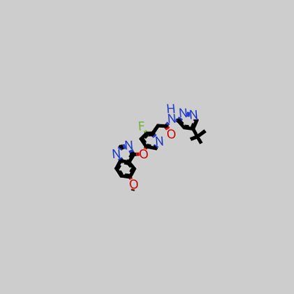 COc1ccc2ncnc(Oc3cnc(CC(=O)Nc4cc(C(C)(C)C)cnn4)c(F)c3)c2c1